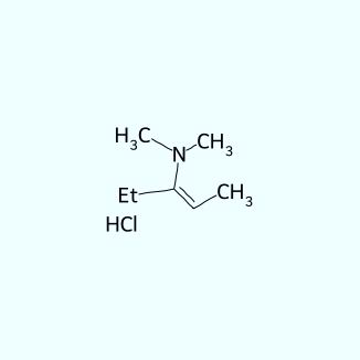 C/C=C(/CC)N(C)C.Cl